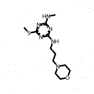 CNc1nc(NCCCN2CCOCC2)nc(SC)n1